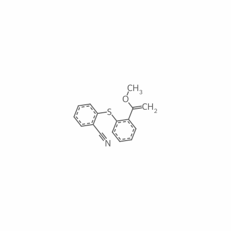 C=C(OC)c1ccccc1Sc1ccccc1C#N